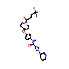 O=C(Nc1ccc(OC2CCN(C(=O)CCC(F)(F)F)CC2)cc1)C1CN(c2cccnc2)C1